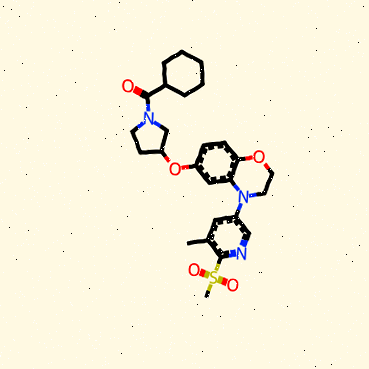 Cc1cc(N2CCOc3ccc(OC4CCN(C(=O)C5CCCCC5)C4)cc32)cnc1S(C)(=O)=O